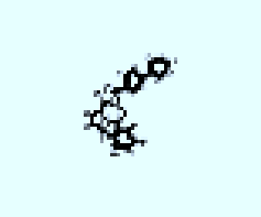 O=C(c1c(F)c(F)c(F)c(F)c1F)N1CCCC1c1nnc(-c2ccc(-c3ccccc3)cc2)o1